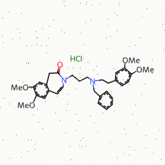 COc1ccc(CCN(CCCN2C=Cc3cc(OC)c(OC)cc3CC2=O)Cc2ccccc2)cc1OC.Cl